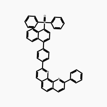 O=P(c1ccccc1)(c1ccccc1)c1ccc(-c2ccc(-c3ccc4ccc5ccc(-c6ccccc6)nc5c4n3)cc2)c2ccccc12